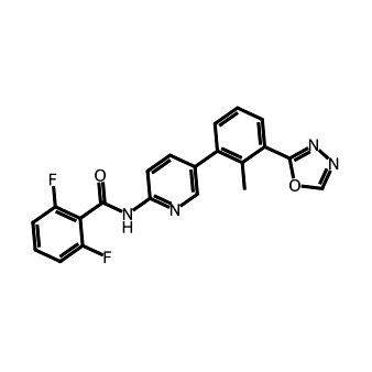 Cc1c(-c2ccc(NC(=O)c3c(F)cccc3F)nc2)cccc1-c1nnco1